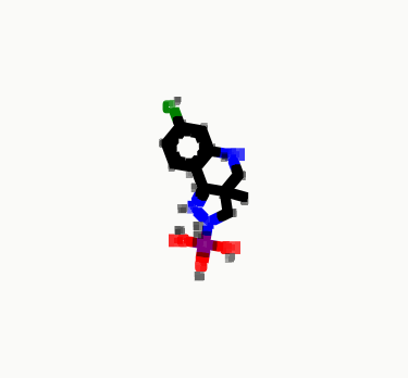 CC12CNc3cc(Cl)ccc3C1=NN(P(=O)(O)O)C2